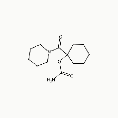 NC(=O)OC1(C(=O)N2CCCCC2)CCCCC1